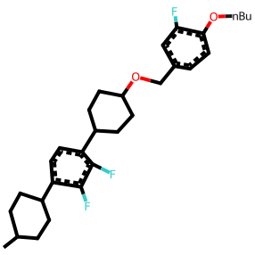 CCCCOc1ccc(COC2CCC(c3ccc(C4CCC(C)CC4)c(F)c3F)CC2)cc1F